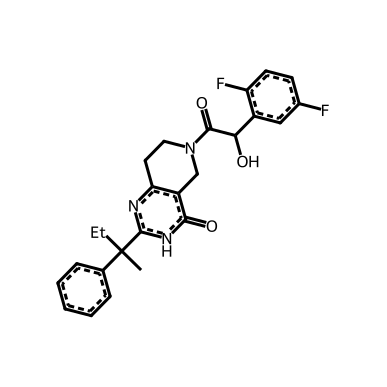 CCC(C)(c1ccccc1)c1nc2c(c(=O)[nH]1)CN(C(=O)C(O)c1cc(F)ccc1F)CC2